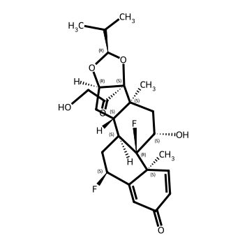 CC(C)[C@@H]1O[C@@H]2C[C@H]3[C@@H]4C[C@H](F)C5=CC(=O)C=C[C@]5(C)[C@@]4(F)[C@@H](O)C[C@]3(C)[C@]2(C(=O)CO)O1